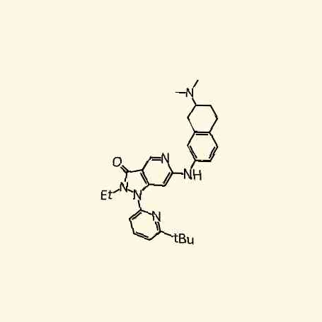 CCn1c(=O)c2cnc(Nc3ccc4c(c3)CC(N(C)C)CC4)cc2n1-c1cccc(C(C)(C)C)n1